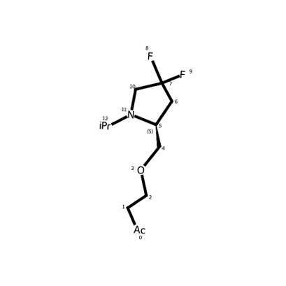 CC(=O)CCOC[C@@H]1CC(F)(F)CN1C(C)C